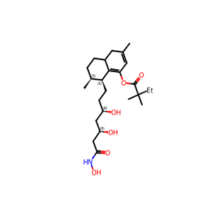 CCC(C)(C)C(=O)OC1=C2C(CC[C@H](C)[C@@H]2CC[C@@H](O)C[C@@H](O)CC(=O)NO)CC(C)=C1